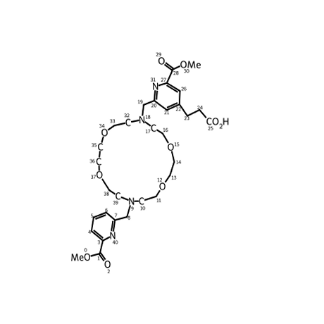 COC(=O)c1cccc(CN2CCOCCOCCN(Cc3cc(CCC(=O)O)cc(C(=O)OC)n3)CCOCCOCC2)n1